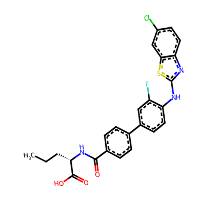 CCC[C@H](NC(=O)c1ccc(-c2ccc(Nc3nc4ccc(Cl)cc4s3)c(F)c2)cc1)C(=O)O